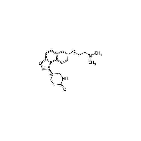 CN(C)CCOc1ccc2c(ccc3occ([C@@H]4CCC(=O)NC4)c32)c1